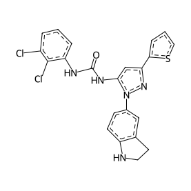 O=C(Nc1cccc(Cl)c1Cl)Nc1cc(-c2cccs2)nn1-c1ccc2c(c1)CCN2